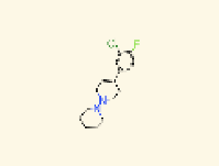 Fc1ccc(C2=CCN(N3CCCCC3)CC2)cc1Cl